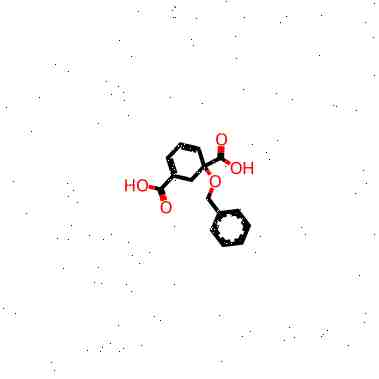 O=C(O)C1=CC=CC(OCc2ccccc2)(C(=O)O)C1